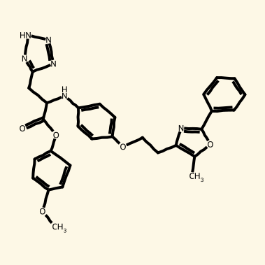 COc1ccc(OC(=O)C(Cc2nn[nH]n2)Nc2ccc(OCCc3nc(-c4ccccc4)oc3C)cc2)cc1